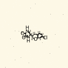 O=c1[nH]cc(C2COc3cc(Cl)ccc3C2)[nH]c1=O